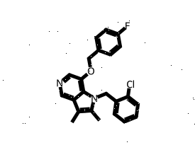 Cc1c(C)n(Cc2ccccc2Cl)c2c(OCc3ccc(F)cc3)cncc12